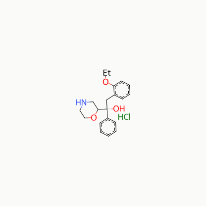 CCOc1ccccc1C[C@@](O)(c1ccccc1)C1CNCCO1.Cl